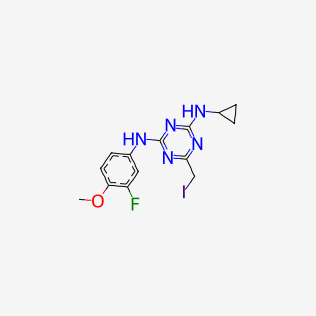 COc1ccc(Nc2nc(CI)nc(NC3CC3)n2)cc1F